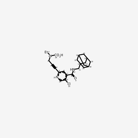 CCN(CC#Cc1cc(C(=O)NCC23CC4CC(CC(C4)C2)C3)c(Cl)cn1)C(=O)O